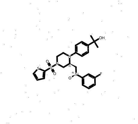 CC(C)(O)c1ccc(N2CCN(S(=O)(=O)c3cccs3)C[C@@H]2C[S@+]([O-])c2cccc(F)c2)cc1